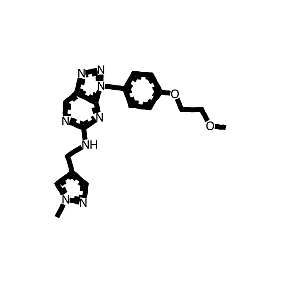 COCCOc1ccc(-n2nnc3cnc(NCc4cnn(C)c4)nc32)cc1